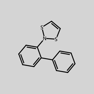 C1=CSN(c2ccccc2-c2ccccc2)S1